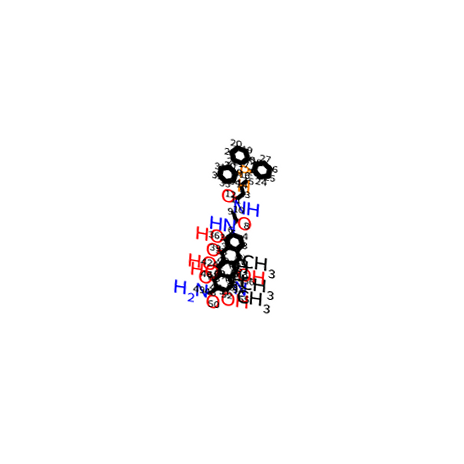 C[C@H]1c2ccc(NC(=O)CNC(=O)CCC[PH](c3ccccc3)(c3ccccc3)c3ccccc3)c(O)c2C(=O)C2=C(O)[C@]3(O)C(=O)C(C(N)=O)=C(O)[C@@H](N(C)C)[C@@H]3[C@@H](O)[C@@H]21